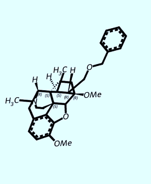 COc1ccc2c3c1OC1[C@@]4(OC)CC[C@@]5([C@@H](C)[C@@H]4COCc4ccccc4)[C@@H](C2)N(C)CC[C@]315